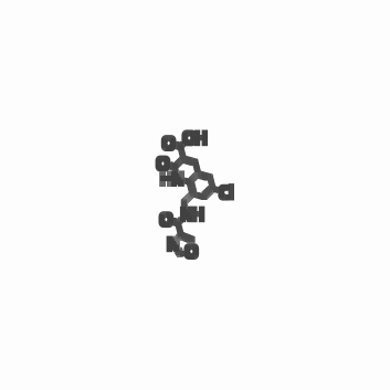 O=C(NCc1cc(Cl)cc2cc(C(=O)O)c(=O)[nH]c12)c1cocn1